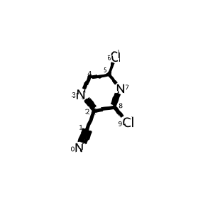 N#CC1=NCC(Cl)N=C1Cl